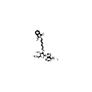 Nc1ncnc2c1ncn2C1OC(CO)C(O)C1OCCCCCCN1C(=O)c2ccccc2C1=O